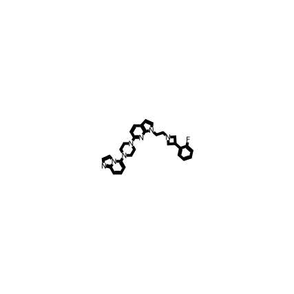 Fc1ccccc1C1CN(CCn2ccc3ccc(N4CCN(c5cccc6nccn56)CC4)nc32)C1